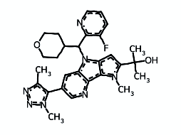 Cc1nnn(C)c1-c1cnc2c3c(cc(C(C)(C)O)n3C)n(C(c3ncccc3F)C3CCOCC3)c2c1